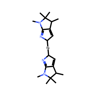 CC1C2=C[CH]([Ni][CH]3C=C4C(=N3)N(C)C(C)(C)C4C)N=C2N(C)C1(C)C